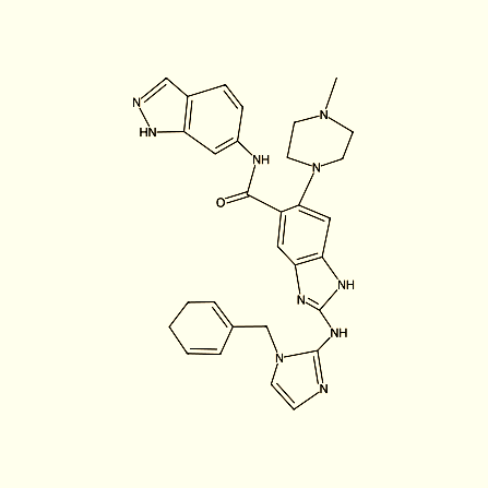 CN1CCN(c2cc3[nH]c(Nc4nccn4CC4=CCCC=C4)nc3cc2C(=O)Nc2ccc3cn[nH]c3c2)CC1